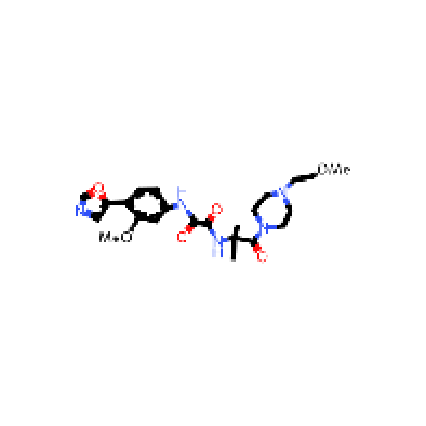 COCCN1CCN(C(=O)C(C)(C)NC(=O)C(=O)Nc2ccc(-c3cnco3)c(OC)c2)CC1